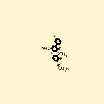 COc1cc(-c2cccc(F)c2)c(F)c(N(C)c2c(F)ccc(OCC(=O)O)c2F)c1